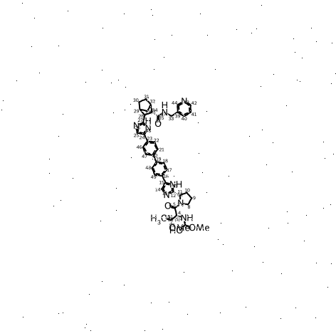 COC(O)N[C@H](C(=O)N1CCC[C@H]1c1ncc(-c2ccc(-c3ccc(-c4cnc(C5C6CCC(C6)[C@@H]5C(=O)NCc5cccnc5)[nH]4)cc3)cc2)[nH]1)[C@@H](C)OC